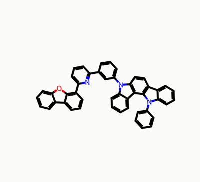 c1ccc(-n2c3ccccc3c3ccc4c(c5ccccc5n4-c4cccc(-c5cccc(-c6cccc7c6oc6ccccc67)n5)c4)c32)cc1